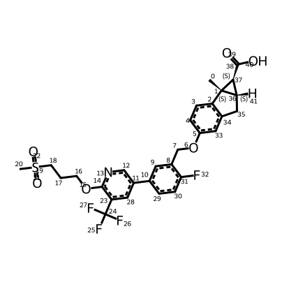 C[C@]12c3ccc(OCc4cc(-c5cnc(OCCCS(C)(=O)=O)c(C(F)(F)F)c5)ccc4F)cc3C[C@H]1[C@@H]2C(=O)O